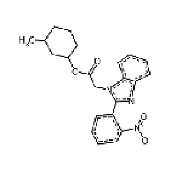 CC1CCCC(OC(=O)Cn2c(-c3ccccc3[N+](=O)[O-])nc3ccccc32)C1